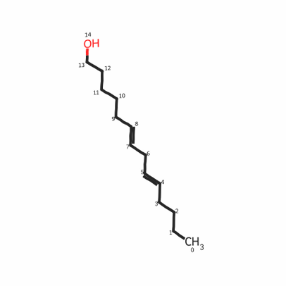 CCCCC=CCC=CCCCCCO